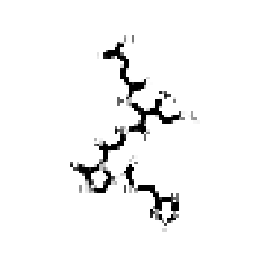 CCC(C)C(NC(=O)CCC(=O)O)C(=O)NCC(=O)N1C(=O)NC[C@H]1C(=O)NCc1nn[nH]n1